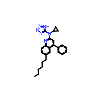 CCCCCCc1ccc2nc(N(c3nnn[nH]3)C3CC3)cc(-c3ccccc3)c2c1